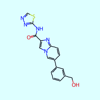 O=C(Nc1nncs1)c1cn2cc(-c3cccc(CO)c3)ccc2n1